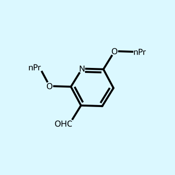 CCCOc1ccc(C=O)c(OCCC)n1